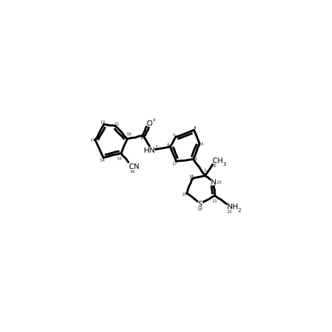 CC1(c2cccc(NC(=O)c3ccccc3C#N)c2)CCSC(N)=N1